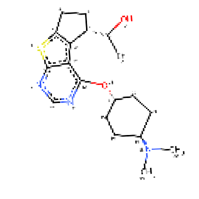 CCC(O)[C@H]1CCc2sc3ncnc(O[C@H]4CC[C@H](N(C)C)CC4)c3c21